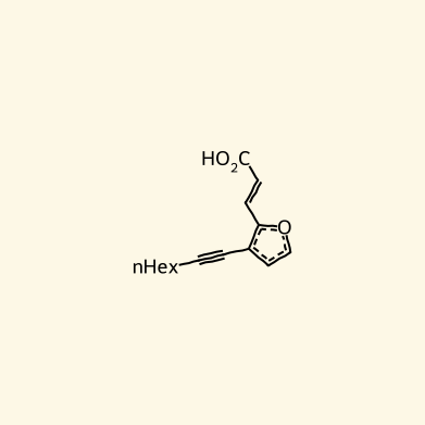 CCCCCCC#Cc1ccoc1C=CC(=O)O